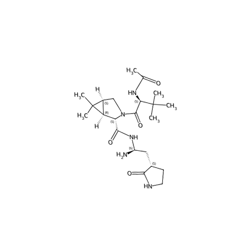 CC(=O)N[C@H](C(=O)N1C[C@H]2[C@@H]([C@H]1C(=O)N[C@H](N)C[C@@H]1CCNC1=O)C2(C)C)C(C)(C)C